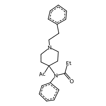 CCC(=O)N(c1ccccc1)C1(C(C)=O)CCN(CCc2ccccc2)CC1